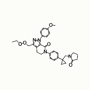 CCOOCc1nn(-c2ccc(OC)cc2)c2c1CCN(c1ccc(C3(CN4CCCC4=O)CC3)cc1)C2=O